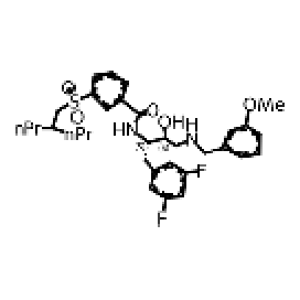 CCCC(CCC)CS(=O)(=O)c1cccc(C(=O)N[C@@H](Cc2cc(F)cc(F)c2)[C@@H](O)CNCc2cccc(OC)c2)c1